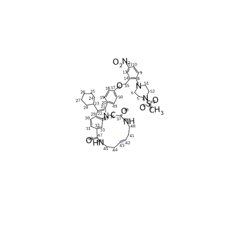 CS(=O)(=O)N1CCN(c2ccc([N+](=O)[O-])cc2COc2ccc(-c3c(C4CCCCC4)c4ccc5cc4n3CC(=O)NCC/C=C/CCNC5=O)cc2)CC1